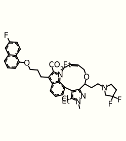 CCOC(=O)c1c(CCCOc2cccc3cc(F)ccc23)c2ccc(Cl)c3c2n1C/C=C\COC(CCN1CCC(F)(F)C1)c1nn(C)c(CC)c1-3